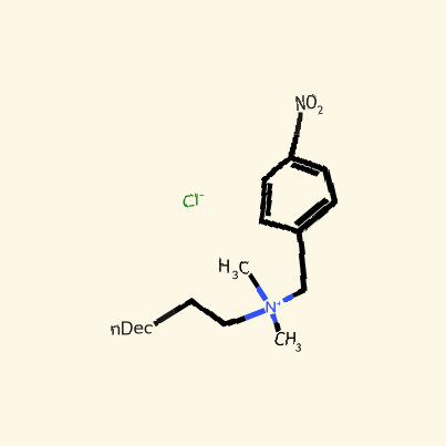 CCCCCCCCCCCC[N+](C)(C)Cc1ccc([N+](=O)[O-])cc1.[Cl-]